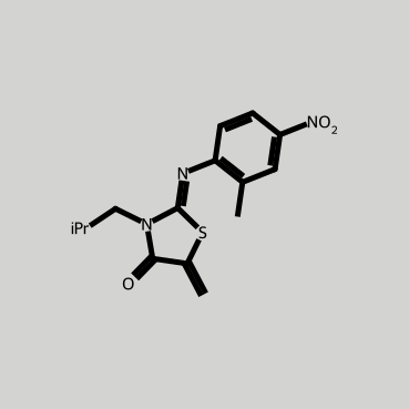 C=C1SC(=Nc2ccc([N+](=O)[O-])cc2C)N(CC(C)C)C1=O